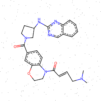 CN(C)C/C=C/C(=O)N1CCOc2cc(C(=O)N3CCC(Nc4ncc5ccccc5n4)C3)ccc21